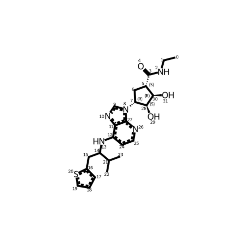 CCNC(=O)[C@H]1C[C@@H](n2cnc3c(NC(Cc4cccs4)C(C)C)ccnc32)[C@H](O)[C@@H]1O